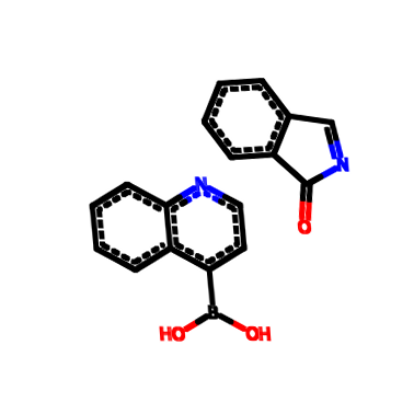 O=C1N=Cc2ccccc21.OB(O)c1ccnc2ccccc12